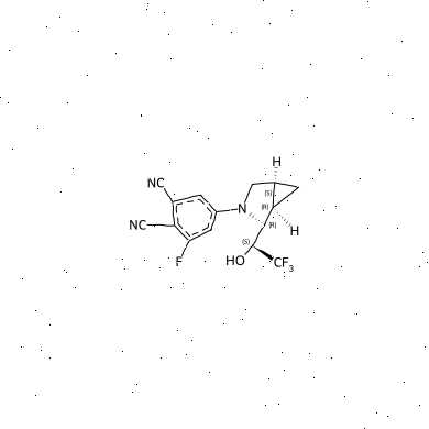 N#Cc1cc(N2C[C@H]3C[C@H]3[C@@H]2[C@H](O)C(F)(F)F)cc(F)c1C#N